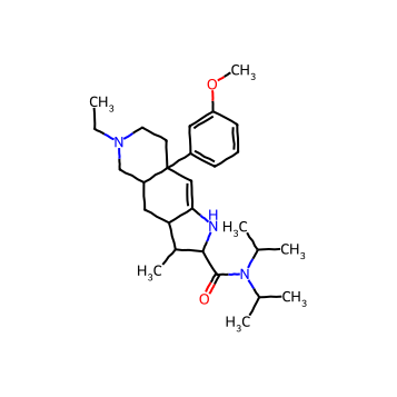 CCN1CCC2(c3cccc(OC)c3)C=C3NC(C(=O)N(C(C)C)C(C)C)C(C)C3CC2C1